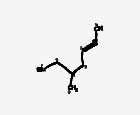 CC(CC=CC#N)CC(C)(C)C